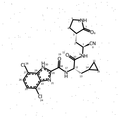 N#C[C@H](C[C@@H]1CCNC1=O)NC(=O)[C@H](CC1CC1)NC(=O)c1nc2c(Cl)ccc(Cl)c2[nH]1